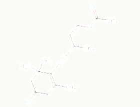 CC(=O)O/C=C\C(C)C#CC1=C(C)CC(=O)CC1(C)C